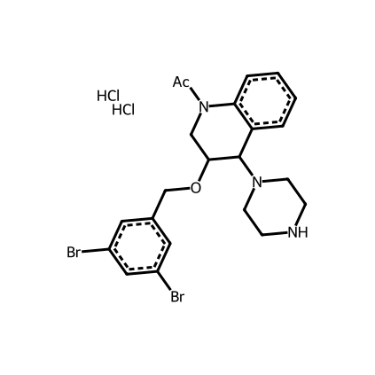 CC(=O)N1CC(OCc2cc(Br)cc(Br)c2)C(N2CCNCC2)c2ccccc21.Cl.Cl